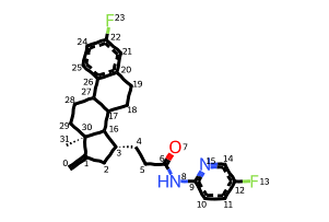 C=C1C[C@@H](CCC(=O)Nc2ccc(F)cn2)C2C3CCc4cc(F)ccc4C3CC[C@]12C